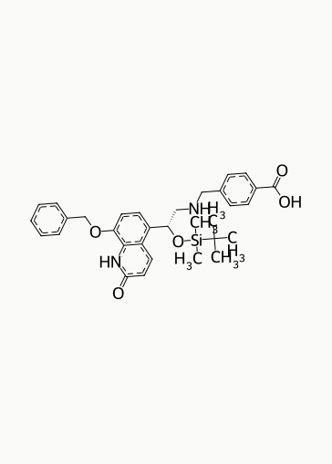 CC(C)(C)[Si](C)(C)O[C@@H](CNCc1ccc(C(=O)O)cc1)c1ccc(OCc2ccccc2)c2[nH]c(=O)ccc12